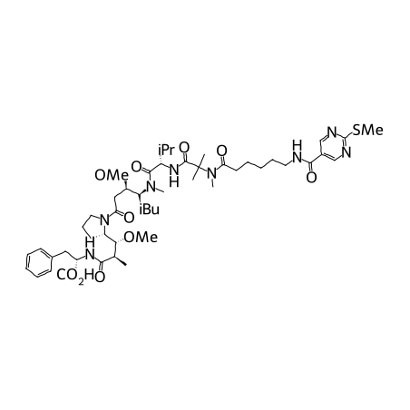 CC[C@H](C)[C@@H]([C@@H](CC(=O)N1CCC[C@H]1[C@H](OC)[C@@H](C)C(=O)N[C@@H](Cc1ccccc1)C(=O)O)OC)N(C)C(=O)[C@@H](NC(=O)C(C)(C)N(C)C(=O)CCCCCNC(=O)c1cnc(SC)nc1)C(C)C